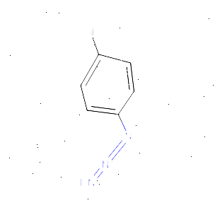 CC(C)c1ccc(N=[N+]=N)cc1